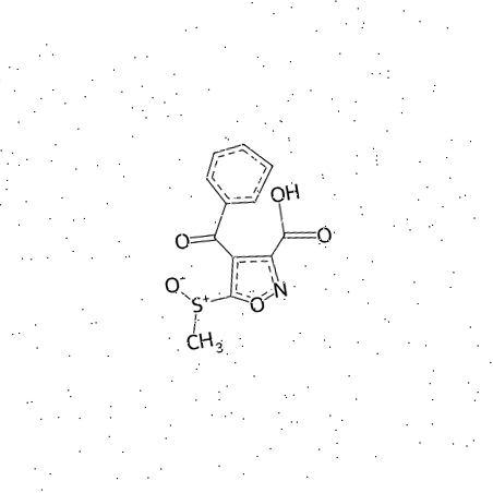 C[S+]([O-])c1onc(C(=O)O)c1C(=O)c1ccccc1